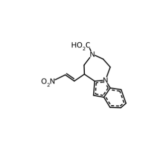 O=C(O)N1CCn2c(cc3ccccc32)C(C=C[N+](=O)[O-])C1